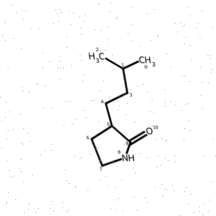 CC(C)CCC1CCNC1=O